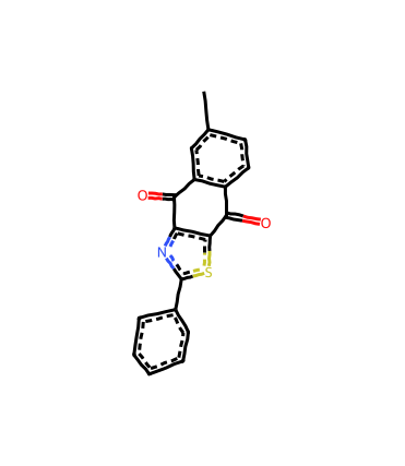 Cc1ccc2c(c1)C(=O)c1nc(-c3ccccc3)sc1C2=O